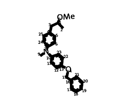 COC(C)Cc1ccc(N(C)c2ccc(OCc3ccccc3)cc2)cc1